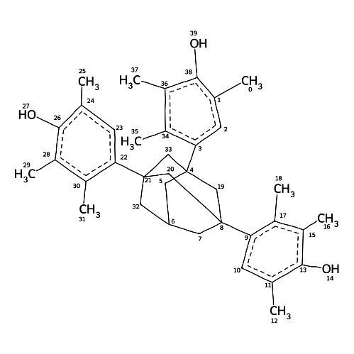 Cc1cc(C23CC4CC(c5cc(C)c(O)c(C)c5C)(C2)CC(c2cc(C)c(O)c(C)c2C)(C4)C3)c(C)c(C)c1O